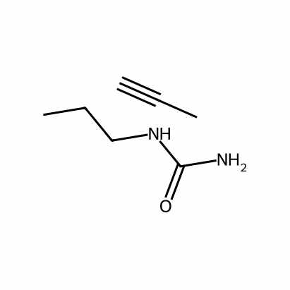 C#CC.CCCNC(N)=O